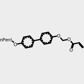 C=CC(=O)OCOc1ccc(-c2ccc(OCCCCC)cc2)cc1